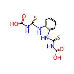 O=C(O)NC(=S)Nc1ccccc1NC(=S)NC(=O)O